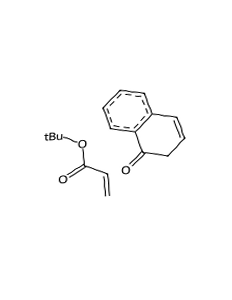 C=CC(=O)OC(C)(C)C.O=C1CC=Cc2ccccc21